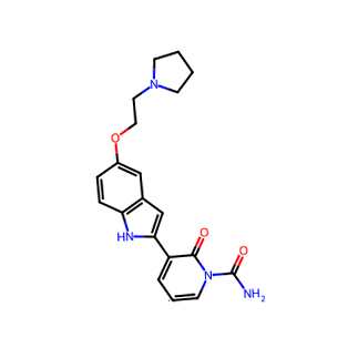 NC(=O)n1c[c]cc(-c2cc3cc(OCCN4CCCC4)ccc3[nH]2)c1=O